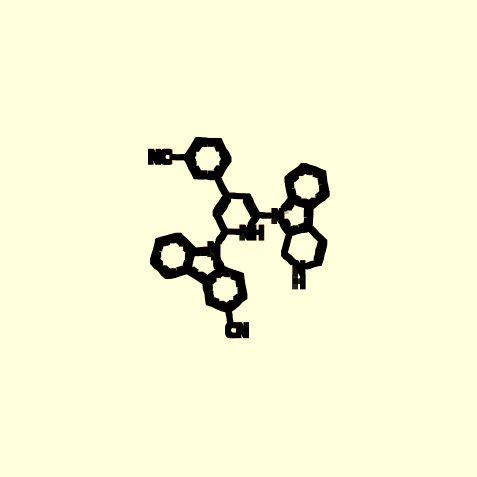 N#Cc1cccc(C2=CC(n3c4ccccc4c4cc(C#N)ccc43)NC(n3c4c(c5ccccc53)C=CNC4)=C2)c1